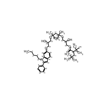 CCCCCn1c(-c2ccccc2)cc2ccc(OCC(O)COC(C)(C)CC(C)(C)OCC(O)COC(=O)C(CC(C)(C)C)C(C)(C)I)cc21